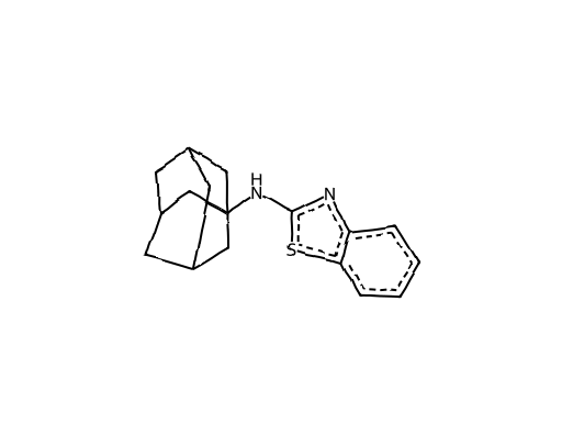 c1ccc2sc(NC34CC5CC(CC(C5)C3)C4)nc2c1